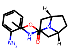 CCOC(=O)N1[C@@H]2CC[C@H]1C[C@H](Nc1ccccc1N)C2